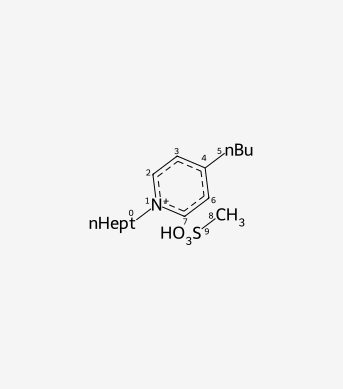 CCCCCCC[n+]1ccc(CCCC)cc1.CS(=O)(=O)O